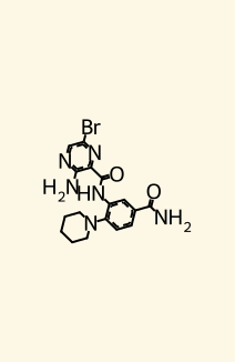 NC(=O)c1ccc(N2CCCCC2)c(NC(=O)c2nc(Br)cnc2N)c1